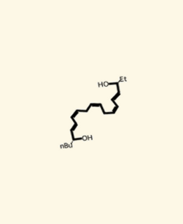 CCCC[C@@H](O)/C=C/C=C\C/C=C\C/C=C\C=C\[C@H](O)CC